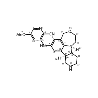 COc1cnc(C#N)c(Nc2cc3c4c(c2)[C@@H]2CNCC[C@@H]2N4CCOC3)c1